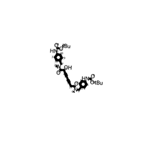 CN(Cc1ccc(NC(=O)OC(C)(C)C)cc1)C(=O)CC#CC#CC(O)C(=O)N(C)Cc1ccc(NC(=O)OC(C)(C)C)cc1